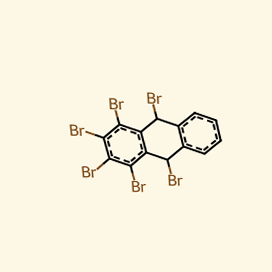 Brc1c(Br)c(Br)c2c(c1Br)C(Br)c1ccccc1C2Br